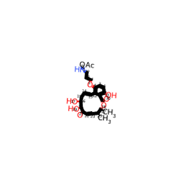 CC(=O)ONCCCOc1ccc(O)c2c1/C=C/C[C@H](O)[C@H](O)C(=O)/C=C\[C@@H](C)[C@H](C)OC2=O